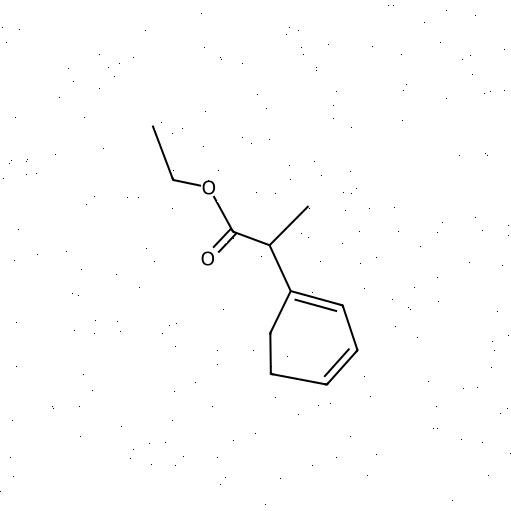 CCOC(=O)C(C)C1=CC=CCC1